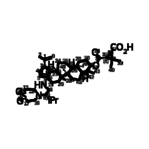 C=C(C)[C@@H]1CC[C@]2(NC[C@H](C(C)C)N3CCS(=O)(=O)CC3)CC[C@]3(C)[C@H](CC[C@@H]4[C@@]5(C)CC[C@H](OC(=O)[C@H]6[C@@H](C(=O)O)C6(C)C)C(C)(C)[C@@H]5CC[C@]43C)[C@@H]12